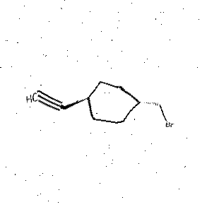 C#C[C@H]1CC[C@H](CBr)CC1